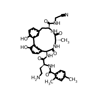 Cc1ccc(C(=O)N[C@@H](CCN)C(=O)N[C@@H]2C(=O)N[C@@H](C)C(=O)N[C@H](C(=O)NCC#N)Cc3ccc(O)c(c3)-c3cc2ccc3O)c(C)c1